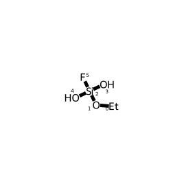 CCO[Si](O)(O)F